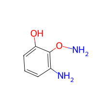 NOc1c(N)cccc1O